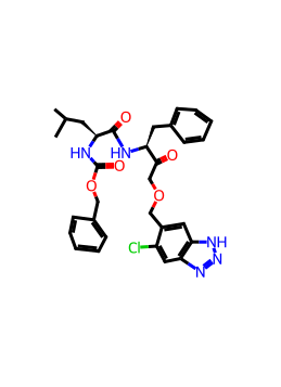 CC(C)C[C@H](NC(=O)OCc1ccccc1)C(=O)N[C@@H](Cc1ccccc1)C(=O)COCc1cc2[nH]nnc2cc1Cl